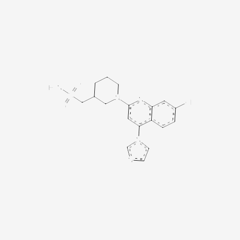 NS(=O)(=O)CC1CCCN(c2cc(-n3ccnc3)c3ccc(Cl)cc3n2)C1